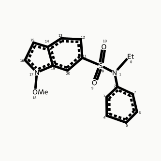 CCN(c1ccccc1)S(=O)(=O)c1ccc2ccn(OC)c2c1